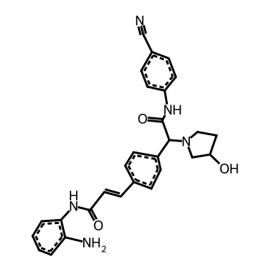 N#Cc1ccc(NC(=O)C(c2ccc(C=CC(=O)Nc3ccccc3N)cc2)N2CCC(O)C2)cc1